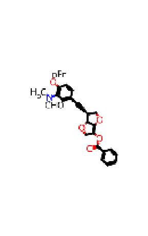 CCCOc1ccc(C#CC2COC3C(OC(=O)c4ccccc4)COC23)cc1N(C)C=O